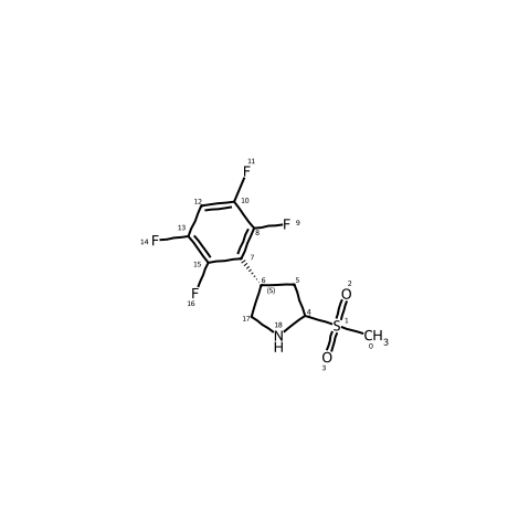 CS(=O)(=O)[C]1C[C@@H](c2c(F)c(F)cc(F)c2F)CN1